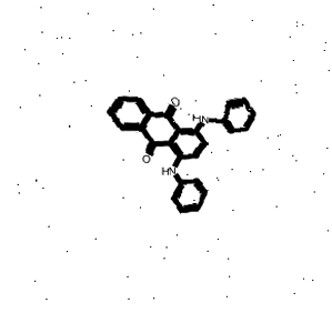 O=C1c2ccccc2C(=O)c2c(Nc3ccccc3)ccc(Nc3ccccc3)c21